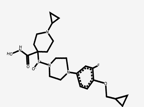 O=C(NO)C1([S+]([O-])N2CCN(c3ccc(OCC4CC4)c(F)c3)CC2)CCN(C2CC2)CC1